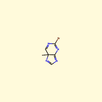 CC12C=NC(Br)=NC1=NC=N2